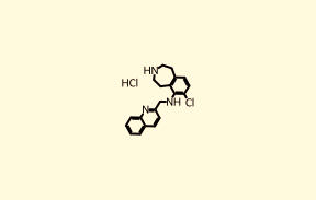 Cl.Clc1ccc2c(c1NCc1ccc3ccccc3n1)CCNCC2